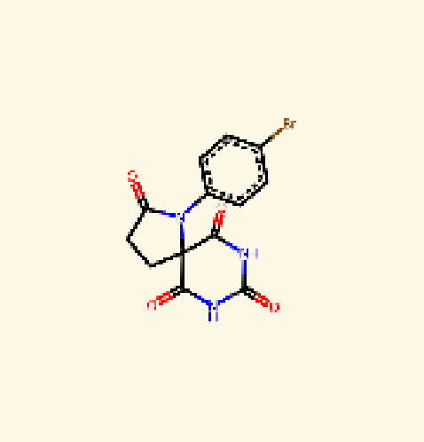 O=C1NC(=O)C2(CCC(=O)N2c2ccc(Br)cc2)C(=O)N1